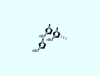 CCCC[n+]1ccn(C)c1.CCCC[n+]1ccn(C)c1.CCCC[n+]1ccn(C)c1.[I-].[I-].[I-]